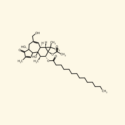 CCCCCCCCCCCCCC(=O)O[C@@H]1[C@@H](C)C2(O)C3C=C(C)C(=O)[C@@]3(O)CC(CO)=C[C@H]2[C@@H]2C(C)(C)[C@]12OC(C)=O